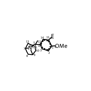 COc1ccc(CN2C3CC2CN(C)C3)cc1F